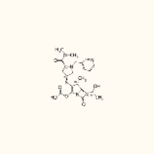 C[C@H]1C(S[C@H]2C[C@@H](C(=O)N(C)C)N(Cc3cccnc3)C2)=C(OC(=O)O)N2C(=O)[C@H]([C@@H](C)O)C12